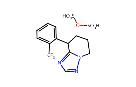 FC(F)(F)c1ccccc1C1CCCn2ncnc21.O=S(=O)(O)OS(=O)(=O)O